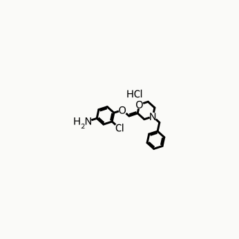 Cl.Nc1ccc(OC=C2CN(Cc3ccccc3)CCO2)c(Cl)c1